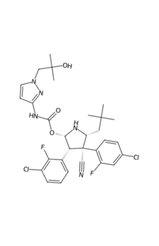 CC(C)(C)C[C@H]1N[C@@H](OC(=O)Nc2ccn(CC(C)(C)O)n2)[C@@H](c2cccc(Cl)c2F)[C@]1(C#N)c1ccc(Cl)cc1F